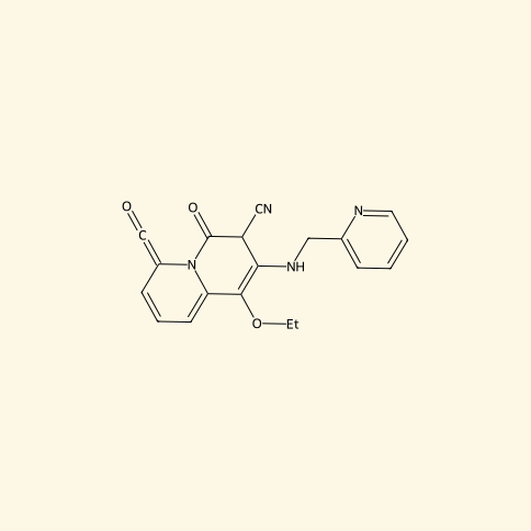 CCOC1=C(NCc2ccccn2)C(C#N)C(=O)N2C(=C=O)C=CC=C12